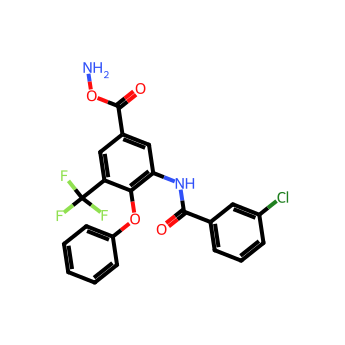 NOC(=O)c1cc(NC(=O)c2cccc(Cl)c2)c(Oc2ccccc2)c(C(F)(F)F)c1